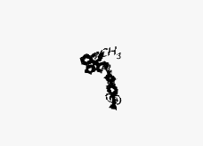 CN1Cc2ccccc2C(C2CCCC2)(C2CCN(CC3CN(c4ccc(S(=O)(=O)C5CC5)cc4)C3)CC2)C1